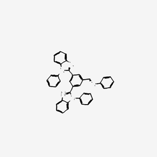 C(=N\c1ccccc1)/c1cc(-c2nc3ccccc3n2-c2ccccc2)cc(-c2nc3ccccc3n2-c2ccccc2)c1